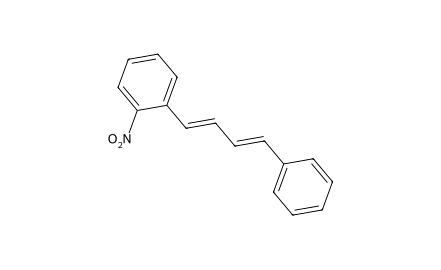 O=[N+]([O-])c1ccccc1/C=C/C=C/c1ccccc1